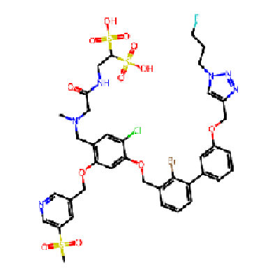 CN(CC(=O)NCC(S(=O)(=O)O)S(=O)(=O)O)Cc1cc(Cl)c(OCc2cccc(-c3cccc(OCc4cn(CCCF)nn4)c3)c2Br)cc1OCc1cncc(S(C)(=O)=O)c1